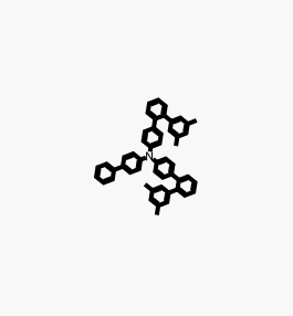 Cc1cc(C)cc(-c2ccccc2-c2ccc(N(c3ccc(-c4ccccc4)cc3)c3ccc(-c4ccccc4-c4cc(C)cc(C)c4)cc3)cc2)c1